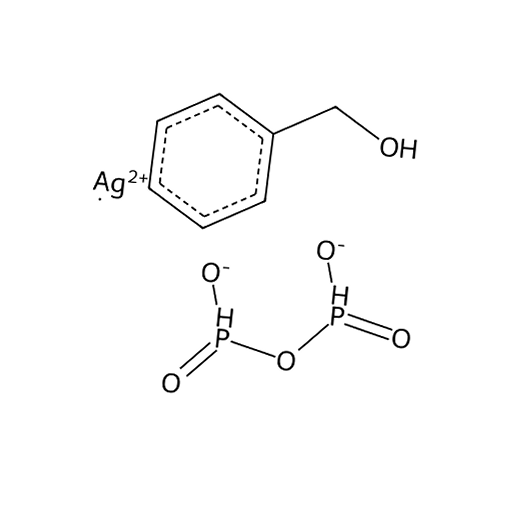 O=[PH]([O-])O[PH](=O)[O-].OCc1ccccc1.[Ag+2]